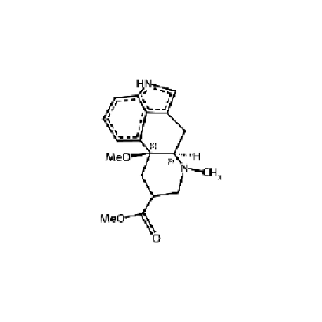 COC(=O)C1CN(C)[C@@H]2Cc3c[nH]c4cccc(c34)[C@@]2(OC)C1